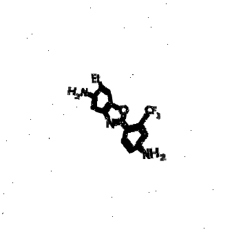 CCc1cc2oc(-c3ccc(N)cc3C(F)(F)F)nc2cc1N